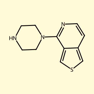 c1cc2cscc2c(N2CCNCC2)n1